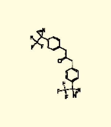 O=C(Cc1ccc(C2(C(F)(F)F)C=N2)cc1)Cc1ccc(C2(C(F)(F)F)N=N2)cc1